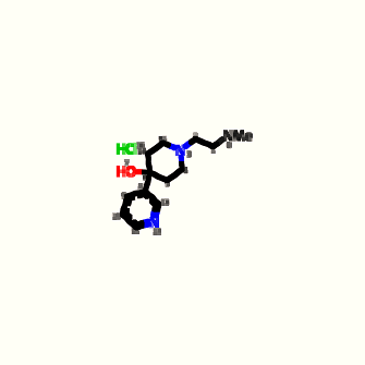 CNCCN1CCC(O)(c2cccnc2)CC1.Cl